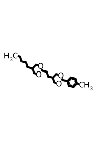 CCCCCC1COC(CCC2COC(c3ccc(C)cc3)OC2)OC1